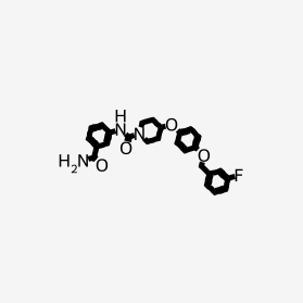 NC(=O)c1cccc(NC(=O)N2CCC(Oc3ccc(OCc4cccc(F)c4)cc3)CC2)c1